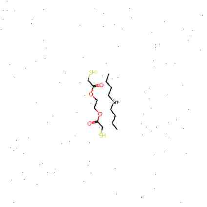 CCC[CH2][Sn][CH2]CCC.O=C(CS)OCCOC(=O)CS